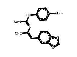 CCCCCCc1ccc(N/C(=N/C(C=O)=C\c2ccc3ncsc3c2)NC)cc1